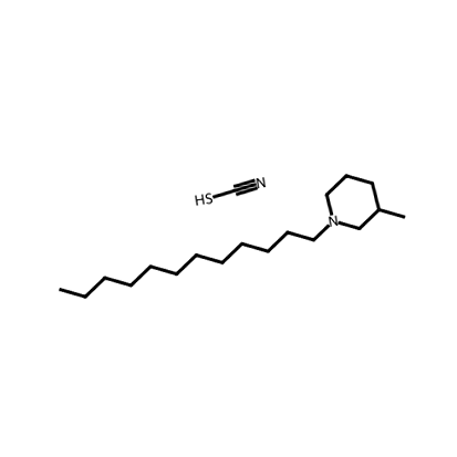 CCCCCCCCCCCCN1CCCC(C)C1.N#CS